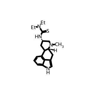 CCN(CC)C(=S)N[C@H]1CC2c3cccc4[nH]cc(c34)C[C@H]2N(C)C1